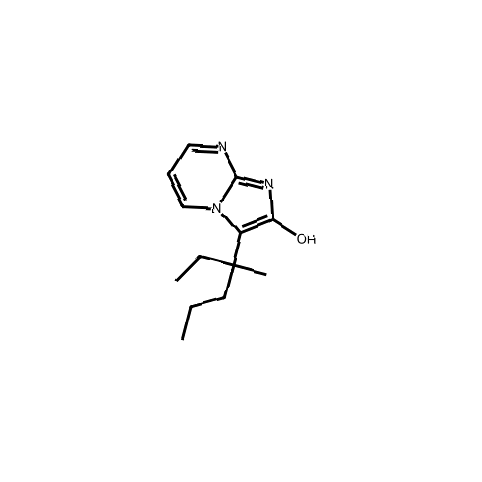 CCCC(C)(CC)c1c(O)nc2ncccn12